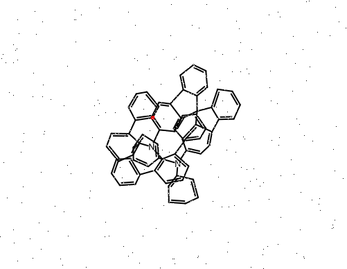 c1ccc(-c2ccccc2N(c2ccc3c(c2)C2(c4ccccc4-c4ccc(N(c5ccccc5)c5ccccc5)cc42)c2ccccc2-3)c2c(-c3ccccc3)cccc2-c2ccccc2)cc1